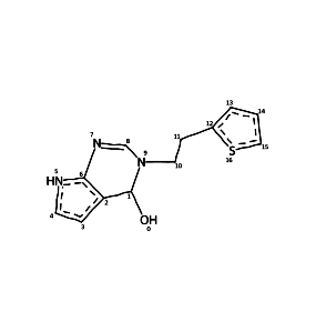 OC1c2cc[nH]c2N=CN1CCc1cccs1